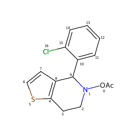 CC(=O)ON1CCc2sccc2C1c1ccccc1Cl